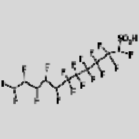 O=S(=O)(O)C(F)C(F)(F)C(F)(F)C(F)(F)C(F)(F)C(F)(F)C(F)C(F)C(F)C(F)C(F)F